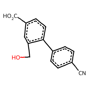 N#Cc1ccc(-c2ccc(C(=O)O)cc2CO)cc1